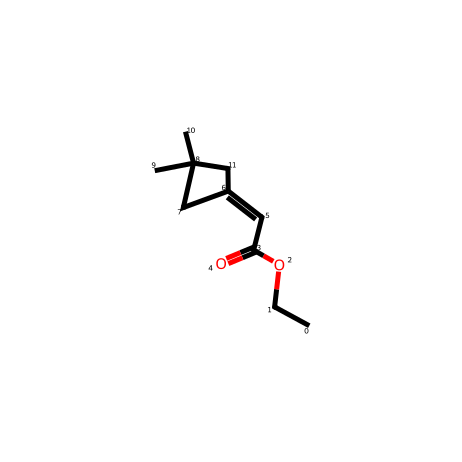 CCOC(=O)C=C1CC(C)(C)C1